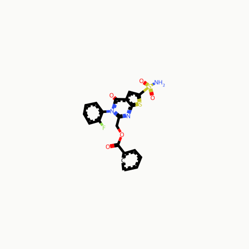 NS(=O)(=O)c1cc2c(=O)n(-c3ccccc3F)c(COC(=O)c3ccccc3)nc2s1